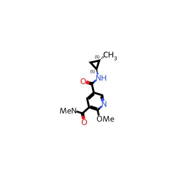 CNC(=O)c1cc(C(=O)N[C@H]2C[C@@H]2C)cnc1OC